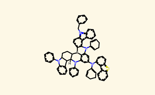 C1=CC(N(c2cc3c4c(c2)N(c2ccccc2)[C@H]2C(CCC5C2c2ccccc2N5c2ccccc2)B4c2ccc4c(c2N3C2=CCCC=C2)c2ccccc2n4Cc2ccccc2)c2cccc3sc4ccccc4c23)=CCC1